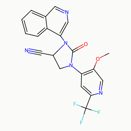 COc1cnc(C(F)(F)F)cc1N1CC(C#N)N(c2cncc3ccccc23)C1=O